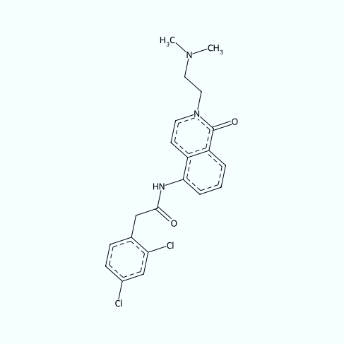 CN(C)CCn1ccc2c(NC(=O)Cc3ccc(Cl)cc3Cl)cccc2c1=O